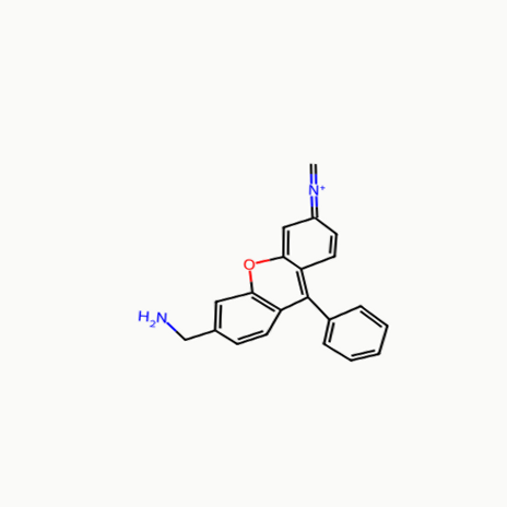 C=[N+]=c1ccc2c(-c3ccccc3)c3ccc(CN)cc3oc-2c1